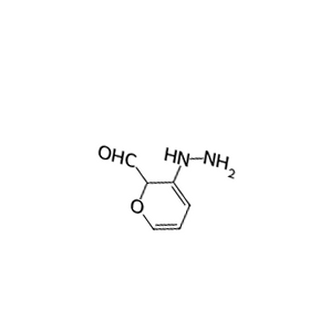 NNC1=CC=COC1C=O